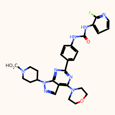 O=C(Nc1ccc(-c2nc(N3CCOCC3)c3cnn(C4CCN(C(=O)O)CC4)c3n2)cc1)Nc1cccnc1F